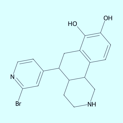 Oc1ccc2c(c1O)CC(c1ccnc(Br)c1)C1CCNCC21